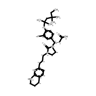 CCC(C)(N)CC(C)(C)Oc1ccc([C@H](CC(=O)O)N2CCN(CCCc3ccc4c(n3)NCCC4)C2=O)cc1F